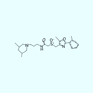 Cc1ccccc1-c1nc(C[S+]([O-])CC(=O)NCCCN2CC(C)CC(C)C2)c(C)o1